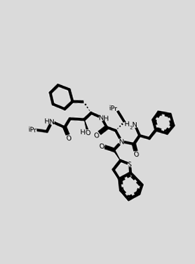 CC(C)CNC(=O)C[C@H](O)[C@H](CC1CCCCC1)NC(=O)[C@H](CC(C)C)N(C(=O)C(N)Cc1ccccc1)C(=O)[C@@H]1Cc2ccccc2S1